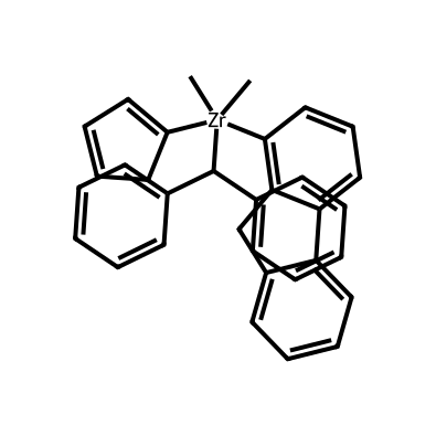 [CH3][Zr]([CH3])([C]1=CC=CC1)([c]1cccc2c1Cc1ccccc1-2)[CH](c1ccccc1)c1ccccc1